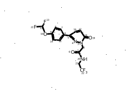 O=C(Cn1nc(-c2ccc(OC(F)F)cc2)ccc1=O)NCC(F)(F)F